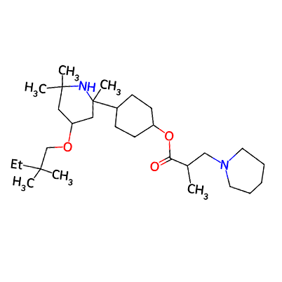 CCC(C)(C)COC1CC(C)(C)NC(C)(C2CCC(OC(=O)C(C)CN3CCCCC3)CC2)C1